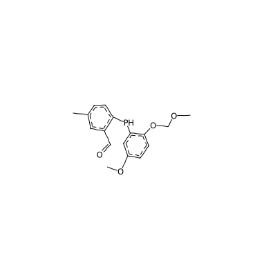 COCOc1ccc(OC)cc1Pc1ccc(C)cc1C=O